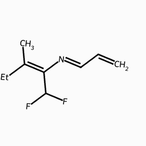 C=C/C=N/C(=C(\C)CC)C(F)F